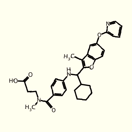 Cc1c(C(Nc2ccc(C(=O)N(C)CCC(=O)O)cc2)C2CCCCC2)oc2ccc(Oc3ccccn3)cc12